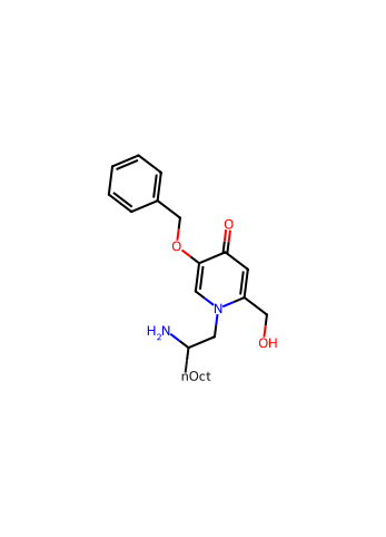 CCCCCCCCC(N)Cn1cc(OCc2ccccc2)c(=O)cc1CO